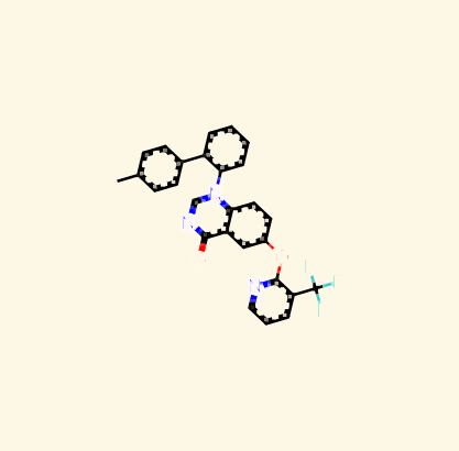 Cc1ccc(-c2ccccc2-n2cnc(=O)c3cc(Oc4ncccc4C(F)(F)F)ccc32)cc1